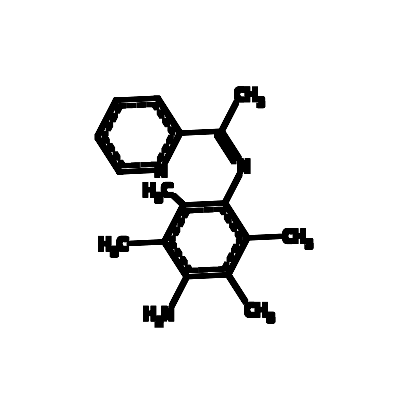 C/C(=N/c1c(C)c(C)c(N)c(C)c1C)c1ccccn1